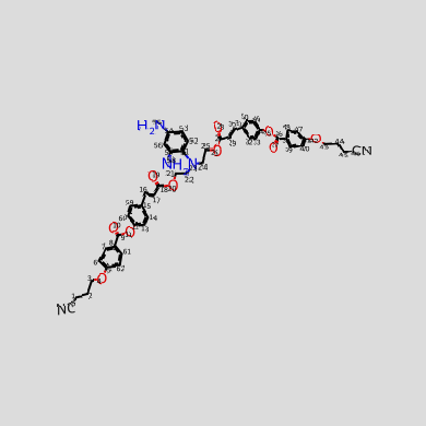 N#CCCCOc1ccc(C(=O)Oc2ccc(/C=C/C(=O)OCCN(CCOC(=O)/C=C/c3ccc(OC(=O)c4ccc(OCCCC#N)cc4)cc3)c3ccc(N)cc3N)cc2)cc1